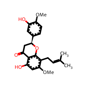 COc1ccc([C@@H]2CC(=O)c3c(O)cc(OC)c(CC=C(C)C)c3O2)cc1O